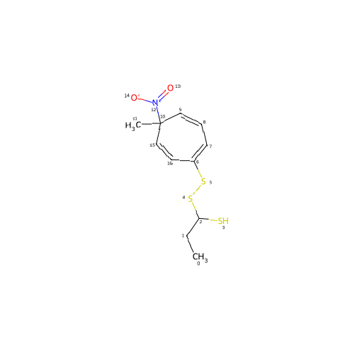 CCC(S)SSC1=CC=CC(C)([N+](=O)[O-])C=C1